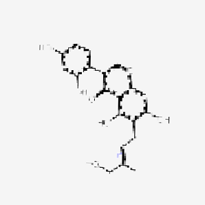 C/C(=C\Cc1c(O)cc2occ(-c3ccc(O)cc3O)c(=O)c2c1O)CO